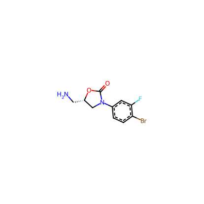 NC[C@H]1CN(c2ccc(Br)c(F)c2)C(=O)O1